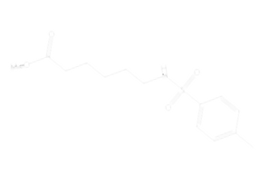 COC(=O)CCCCCNS(=O)(=O)c1ccc(C)cc1